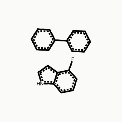 Fc1cccc2[nH]ccc12.c1ccc(-c2ccccc2)cc1